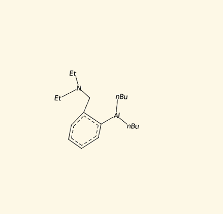 CCC[CH2][Al]([CH2]CCC)[c]1ccccc1CN(CC)CC